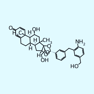 C[C@]12C=CC(=O)C=C1CC[C@@H]1[C@@H]2[C@@H](O)C[C@@]2(C)[C@H]1C[C@H]1O[C@@H](c3cccc(Cc4cc(CO)ccc4N)c3)O[C@]12C(=O)CO